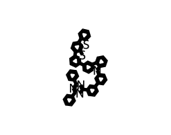 c1ccc(-c2nc(-c3ccccc3)nc(-c3cccc(-c4cccc(-n5c6ccccc6c6cc(-c7cccc8c7sc7c8ccc8c9ccccc9sc87)ccc65)c4)c3)n2)cc1